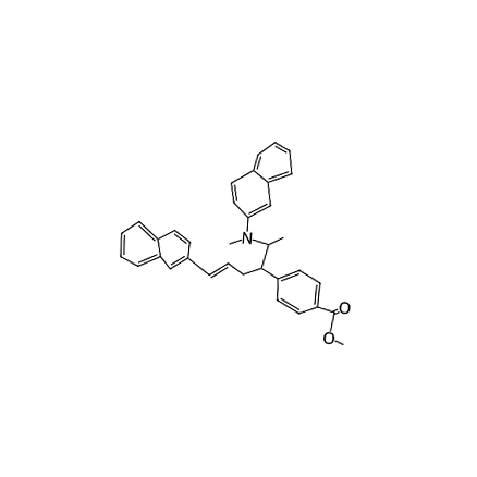 COC(=O)c1ccc(C(C/C=C/c2ccc3ccccc3c2)C(C)N(C)c2ccc3ccccc3c2)cc1